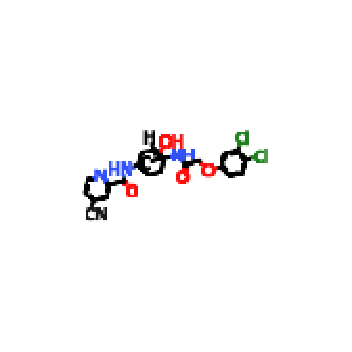 N#Cc1ccnc(C(=O)NC23CCC(NC(=O)COc4ccc(Cl)c(Cl)c4)(CC2)[C@@H](O)C3)c1